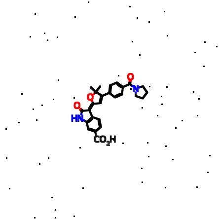 CC1(C)OC(=C2C(=O)Nc3cc(C(=O)O)ccc32)C=C1c1ccc(C(=O)N2CCCC2)cc1